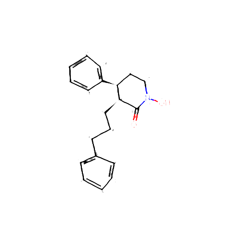 O=C1[C@@H](CCCc2ccccc2)[C@@H](c2ccccc2)CCN1O